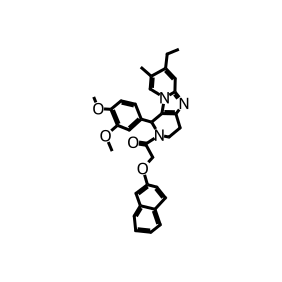 CCc1cc2nc3c(n2cc1C)C(c1ccc(OC)c(OC)c1)N(C(=O)COc1ccc2ccccc2c1)CC3